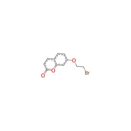 O=c1ccc2ccc(OCCBr)cc2o1